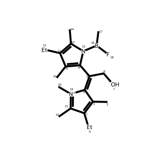 CCC1=C(C)/C(=C(\CO)c2c(C)c(CC)c(C)n2B(C)F)[N+](C)=C1C